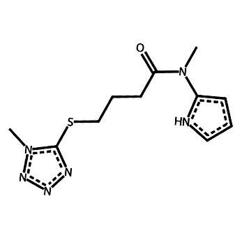 CN(C(=O)CCCSc1nnnn1C)c1ccc[nH]1